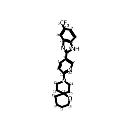 FC(F)(F)c1ccc2[nH]c(-c3ccc(N4CCC5(CCCCO5)CC4)nc3)nc2c1